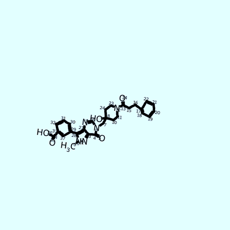 Cn1nc2c(=O)n(CC3(O)CCN(C(=O)CCc4ccccc4)CC3)cnc2c1-c1cccc(C(=O)O)c1